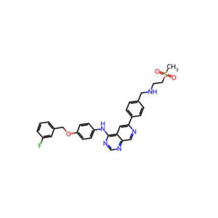 CS(=O)(=O)CCNCc1ccc(-c2cc3c(Nc4ccc(OCc5cccc(F)c5)cc4)ncnc3cn2)cc1